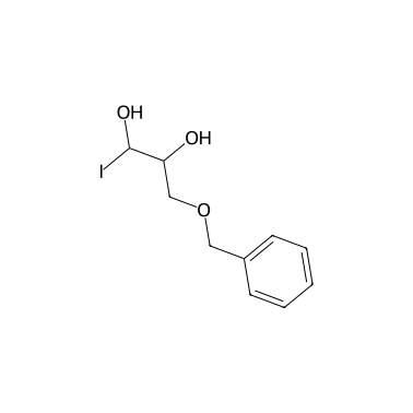 OC(I)C(O)COCc1ccccc1